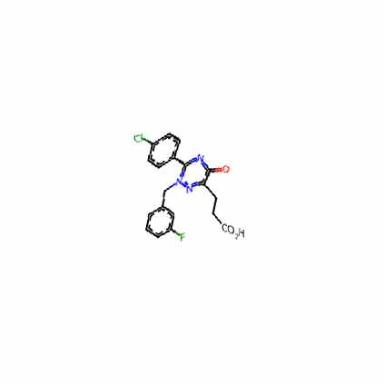 O=C(O)CCc1nn(Cc2cccc(F)c2)c(-c2ccc(Cl)cc2)nc1=O